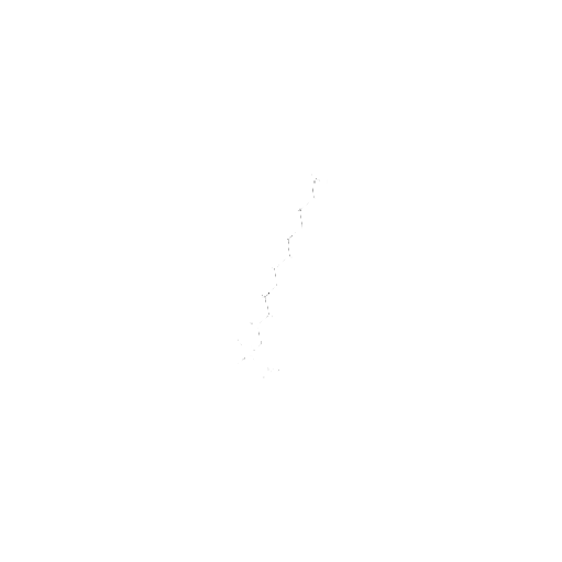 CCCCCCCCCCCCCCCCCCCC[Si](C)(C)OC